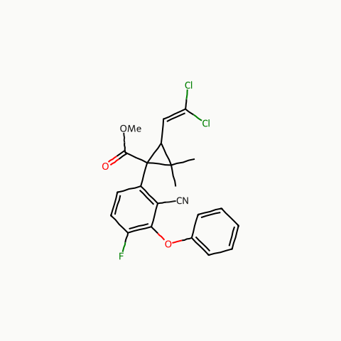 COC(=O)C1(c2ccc(F)c(Oc3ccccc3)c2C#N)C(C=C(Cl)Cl)C1(C)C